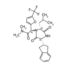 CC(C)C[C@@H]1C(=O)N[C@H](C2Cc3ccccc3C2)C(=O)N1[C@@H](C(=O)N(C)C)c1ccc(C(F)(F)F)o1